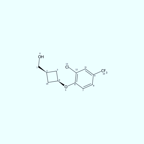 OC[C@H]1C[C@@H](Oc2ccc(C(F)(F)F)cc2Cl)C1